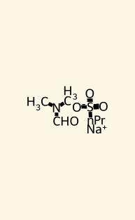 CCCS(=O)(=O)[O-].CN(C)C=O.[Na+]